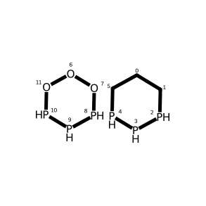 C1CPPPC1.O1OPPPO1